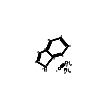 C=O.P.c1ccc2[nH]ccc2c1